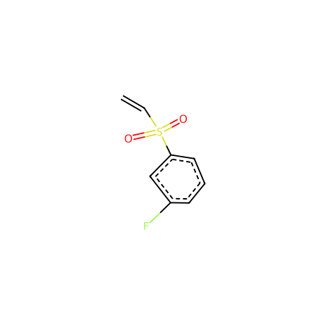 C=CS(=O)(=O)c1cccc(F)c1